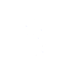 CN(C)C(=O)Cn1cnc2c(Cl)nccc21